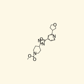 COC(=O)N1CCC(c2noc(-c3ccnc(C4CCOC4)c3)n2)CC1